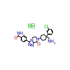 Cl.Cl.NCC1(c2cccc(Cl)c2)CCC(N2CCn3c(nnc3-c3ccc(C(N)=O)cc3)C2=O)CC1